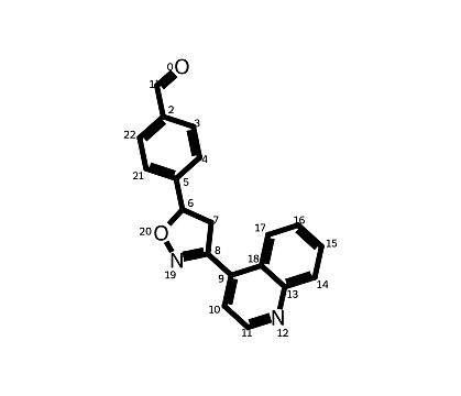 O=[C]c1ccc(C2CC(c3ccnc4ccccc34)=NO2)cc1